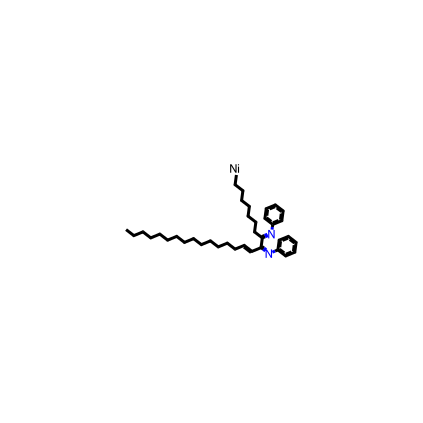 CCCCCCCCCCCCCCC=CC(=Nc1ccccc1)C(CCCCCCCC)=Nc1ccccc1.[Ni]